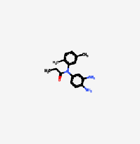 CCC(=O)N(c1ccc(N)c(N)c1)c1cc(C)ccc1C